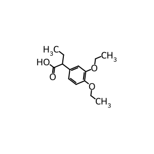 CCOc1ccc(C(CC)C(=O)O)cc1OCC